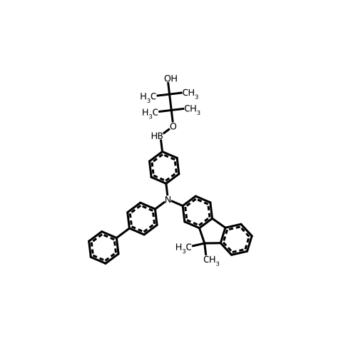 CC1(C)c2ccccc2-c2ccc(N(c3ccc(BOC(C)(C)C(C)(C)O)cc3)c3ccc(-c4ccccc4)cc3)cc21